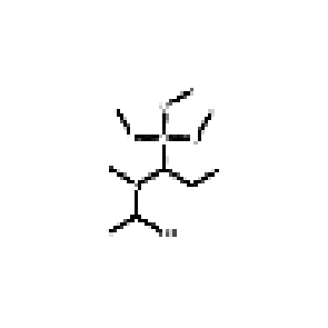 CCC(N(C)C(C)O)[Si](OC)(OC)OC